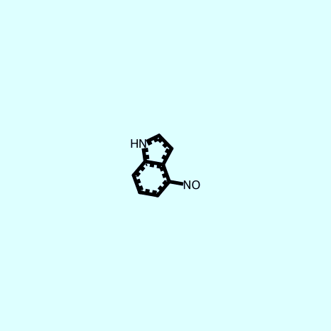 O=Nc1cccc2[nH]ccc12